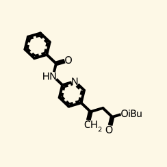 C=C(CC(=O)OCC(C)C)c1ccc(NC(=O)c2ccccc2)nc1